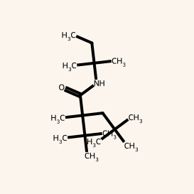 CCC(C)(C)NC(=O)C(C)(CC(C)(C)C)C(C)(C)C